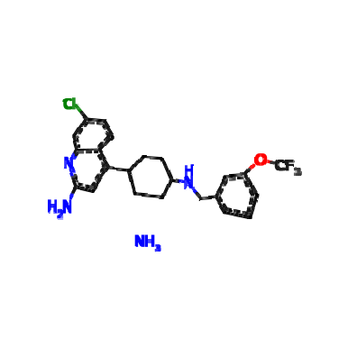 N.Nc1cc(C2CCC(NCc3cccc(OC(F)(F)F)c3)CC2)c2ccc(Cl)cc2n1